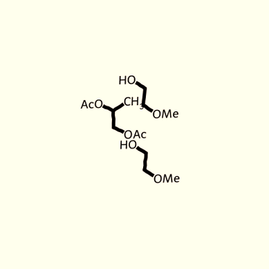 CC(=O)OCC(C)OC(C)=O.COCCO.COCCO